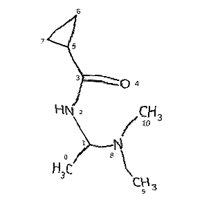 CC(NC(=O)C1CC1)N(C)C